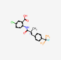 C/C(=C\c1ccc(C(F)(P)P)cc1)C(=O)Nc1ccc(Cl)cc1C(=O)O